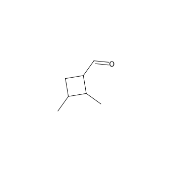 CC1CC(C=O)C1C